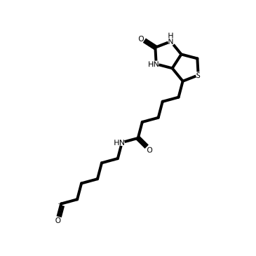 O=[C]CCCCCNC(=O)CCCCC1SCC2NC(=O)NC21